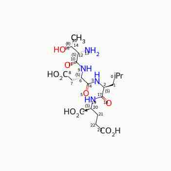 CC(C)C[C@H](NC(=O)[C@H](CC(=O)O)NC(=O)[C@@H](N)[C@@H](C)O)C(=O)N[C@@H](CCC(=O)O)C(=O)O